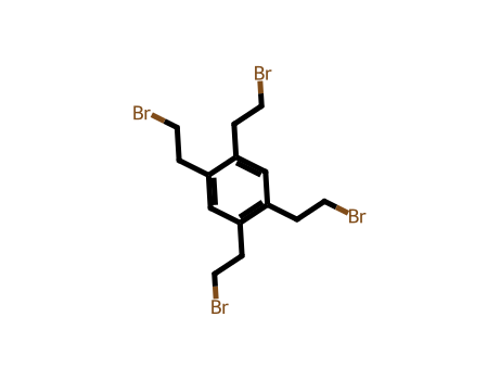 BrCCc1cc(CCBr)c(CCBr)cc1CCBr